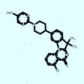 CC1(C)c2ccc(C3CCN(c4ncc(C=O)cn4)CC3)cc2-n2c1nc(=O)c1c(Cl)cccc12